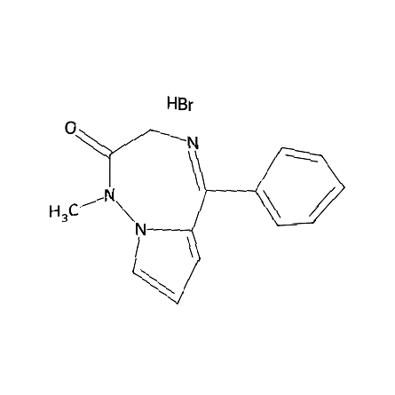 Br.CN1C(=O)CN=C(c2ccccc2)c2cccn21